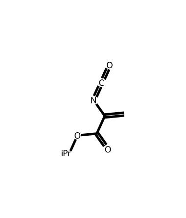 C=C(N=C=O)C(=O)OC(C)C